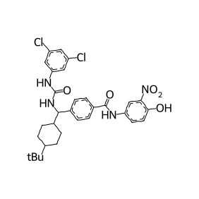 CC(C)(C)C1CCC(C(NC(=O)Nc2cc(Cl)cc(Cl)c2)c2ccc(C(=O)Nc3ccc(O)c([N+](=O)[O-])c3)cc2)CC1